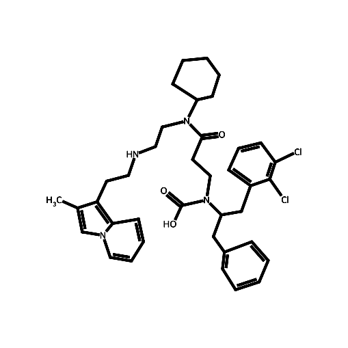 Cc1cn2ccccc2c1CCNCCN(C(=O)CCN(C(=O)O)C(Cc1ccccc1)Cc1cccc(Cl)c1Cl)C1CCCCC1